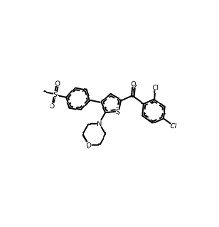 CS(=O)(=O)c1ccc(-c2cc(C(=O)c3ccc(Cl)cc3Cl)sc2N2CCOCC2)cc1